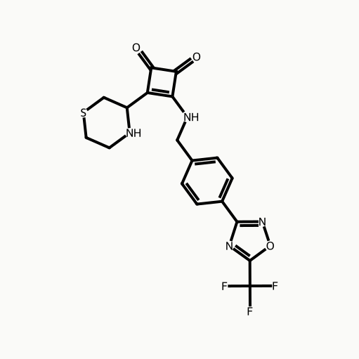 O=c1c(NCc2ccc(-c3noc(C(F)(F)F)n3)cc2)c(C2CSCCN2)c1=O